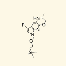 C[C@@H]1COc2nc3c(cc2N1)c(F)cn3COCC[Si](C)(C)C